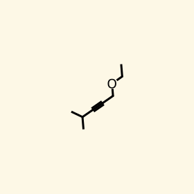 CCOCC#CC(C)C